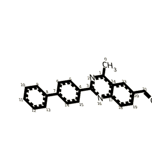 Cc1nc(-c2ccc(-c3ccccc3)cc2)nc2ccc(C=O)cc12